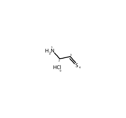 Cl.NCC=S